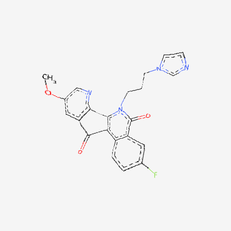 COc1cnc2c(c1)C(=O)c1c-2n(CCCn2ccnc2)c(=O)c2cc(F)ccc12